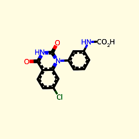 O=C(O)Nc1cccc(-n2c(=O)[nH]c(=O)c3ccc(Cl)cc32)c1